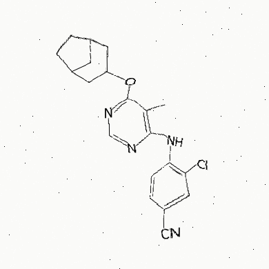 Cc1c(Nc2ccc(C#N)cc2Cl)ncnc1OC1CC2CCC(C2)C1